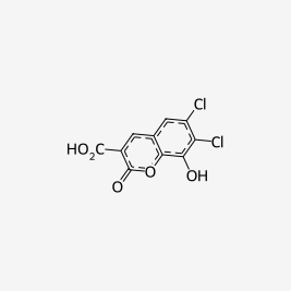 O=C(O)c1cc2cc(Cl)c(Cl)c(O)c2oc1=O